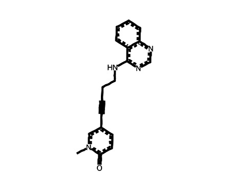 Cn1cc(C#CCCNc2ncnc3ccccc23)ccc1=O